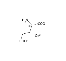 N[C@@H](CCC(=O)[O-])C(=O)[O-].[Zn+2]